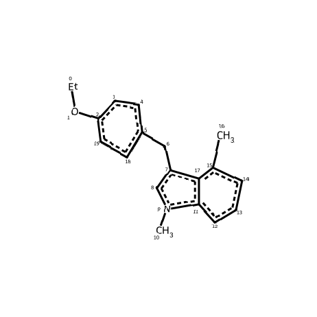 CCOc1ccc(Cc2cn(C)c3cccc(C)c23)cc1